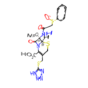 CO[C@@]1(NC(=O)C[S+]([O-])c2ccccc2)C(=O)N2C(C(=O)O)=C(CSc3nnn[nH]3)CS[C@H]21